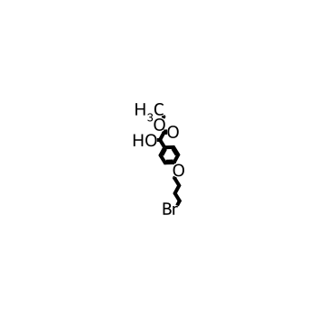 CCOC(=O)C(O)c1ccc(OCCCCBr)cc1